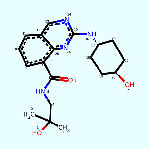 CC(C)(O)CNC(=O)c1cccc2cnc(N[C@H]3CC[C@H](O)CC3)nc12